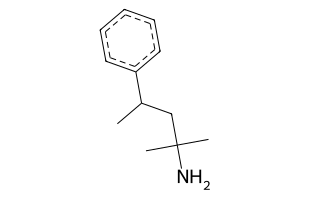 CC(CC(C)(C)N)c1ccccc1